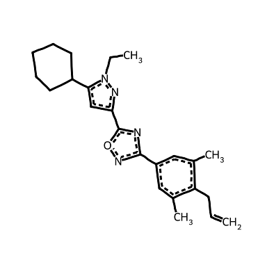 C=CCc1c(C)cc(-c2noc(-c3cc(C4CCCCC4)n(CC)n3)n2)cc1C